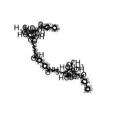 CC(=O)N[C@H]1[C@H]([C@H](O)[C@H](O)CNC(=O)c2ccc(-c3ccccc3)cc2)O[C@@](OCCCSCCNC(=O)c2ccc(-c3ccc(C(=O)NCCSCCCO[C@]4(C(=O)O)C[C@H](O)[C@@H](NC(C)=O)[C@H]([C@H](O)[C@H](O)CNC(=O)c5ccc(-c6ccccc6)cc5)O4)cc3)cc2)(C(=O)O)C[C@@H]1O